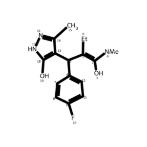 CC/C(=C(/O)NC)C(c1ccc(F)cc1)c1c(C)n[nH]c1O